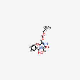 COCCOCOC[C@H]1NC(=O)[C@@H](CO)N(Cc2ccccc2)C1=O